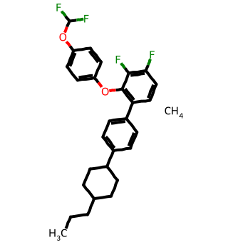 C.CCCC1CCC(c2ccc(-c3ccc(F)c(F)c3Oc3ccc(OC(F)F)cc3)cc2)CC1